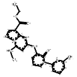 CCOC(=O)c1cnn2c(NC)cc(Nc3cccn(-c4cccc(C)n4)c3=O)nc12